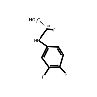 O=C(O)[C@H](F)Nc1ccc(F)c(F)c1